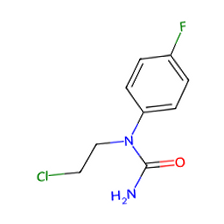 NC(=O)N(CCCl)c1ccc(F)cc1